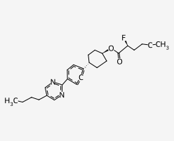 CCCCc1cnc(-c2ccc([C@H]3CC[C@H](OC(=O)[C@@H](F)CCCC)CC3)cc2)nc1